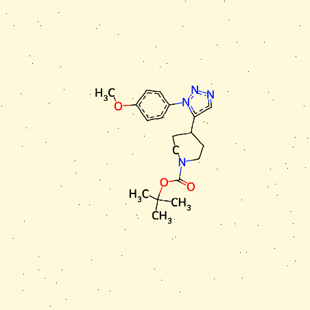 COc1ccc(-n2nncc2C2CCN(C(=O)OC(C)(C)C)CC2)cc1